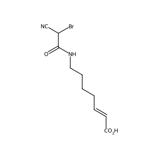 N#CC(Br)C(=O)NCCCCC=CC(=O)O